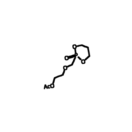 CC(=O)OCCOCP1(=O)OCCCO1